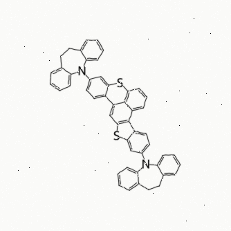 c1ccc2c(c1)CCc1ccccc1N2c1ccc2c(c1)Sc1cccc3c1c-2cc1sc2cc(N4c5ccccc5CCc5ccccc54)ccc2c13